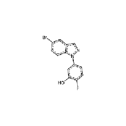 Oc1cc(-n2ncc3cc(Br)ccc32)ccc1F